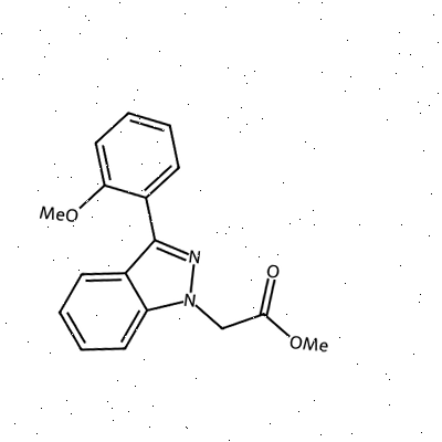 COC(=O)Cn1nc(-c2ccccc2OC)c2ccccc21